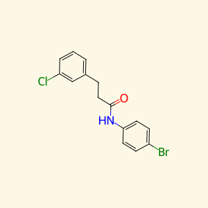 O=C(CCc1cccc(Cl)c1)Nc1ccc(Br)cc1